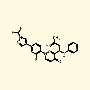 CC(=N)CC(Nc1ccccc1)c1nn(-c2ccc(-c3cnn(C(F)F)c3)cc2F)ccc1=O